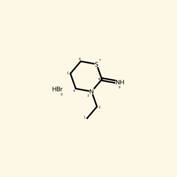 Br.CCN1CCCSC1=N